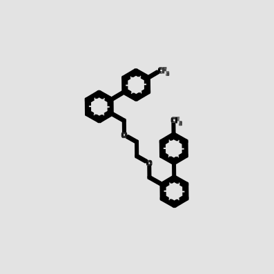 FC(F)(F)c1ccc(-c2ccccc2COCCOCc2ccccc2-c2ccc(C(F)(F)F)cc2)cc1